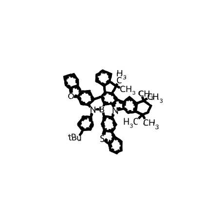 CC(C)(C)c1ccc(N2B3c4cc5sc6ccccc6c5cc4-n4c5cc6c(cc5c5c7c(c(c3c54)-c3cc4c(cc32)oc2ccccc24)-c2ccccc2C7(C)C)C(C)(C)CCC6(C)C)cc1